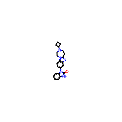 O=c1[nH]c2ccccc2n1-c1ccc2c(c1)nc1n2CCN(C2CCC2)CC1